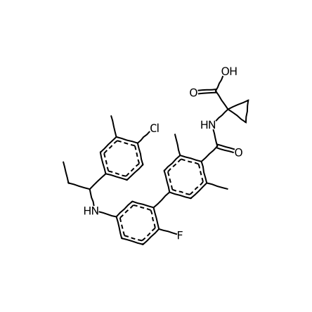 CCC(Nc1ccc(F)c(-c2cc(C)c(C(=O)NC3(C(=O)O)CC3)c(C)c2)c1)c1ccc(Cl)c(C)c1